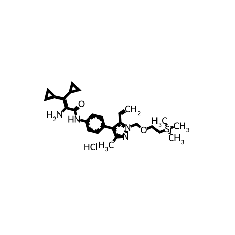 C=Cc1c(-c2ccc(NC(=O)C(N)=C(C3CC3)C3CC3)cc2)c(C)nn1COCC[Si](C)(C)C.Cl